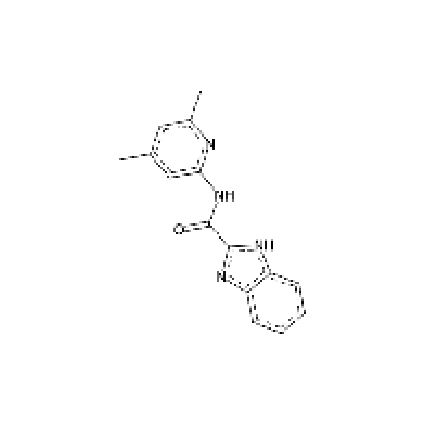 Cc1cc(C)nc(NC(=O)c2nc3ccccc3[nH]2)c1